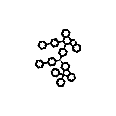 c1ccc(-c2ccc(-c3c(-c4ccc(N(c5ccc(-c6ccccc6)cc5)c5ccc6c(c5)C(c5ccccc5)(c5ccccc5)c5ccccc5-6)cc4)c4c5ccccc5oc4c4ccccc34)cc2)cc1